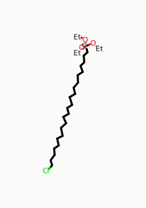 CCO[Si](CCCCCCCCCCCCCCCCCCCCCCCCl)(OCC)OCC